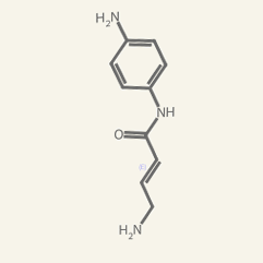 NC/C=C/C(=O)Nc1ccc(N)cc1